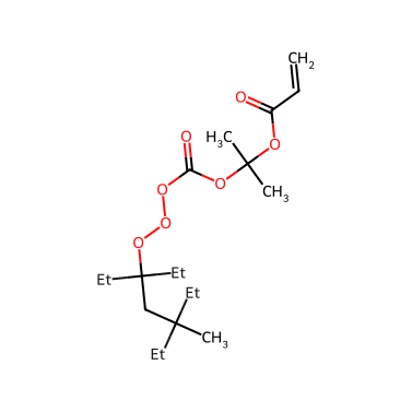 C=CC(=O)OC(C)(C)OC(=O)OOOC(CC)(CC)CC(C)(CC)CC